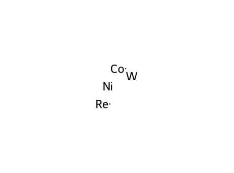 [Co].[Ni].[Re].[W]